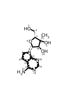 C[C@@]1(O)[C@@H](CO)O[C@@H](n2ccc3c(N)ncnc32)[C@@H]1O